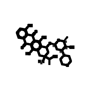 CC(O)C1(N)Cc2c(O)c3c(c(O)c2C(O[C@H]2C[C@H](N4CCOCC4)[C@@H](O)[C@@H](C)O2)C1)C(=O)c1c(O)cccc1C3=O